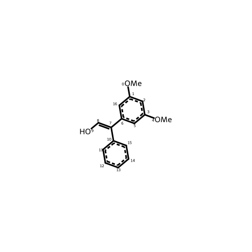 COc1cc(OC)cc(C(=CO)c2ccccc2)c1